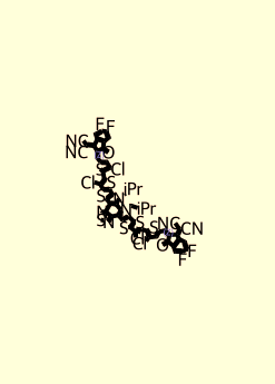 CC(C)Cn1c2c3sc(-c4sc(/C=C5\C(=O)c6cc(F)c(F)cc6C5=C(C#N)C#N)cc4Cl)c(Cl)c3sc2c2c3nsnc3c3c4sc5c(Cl)c(-c6sc(/C=C7\C(=O)c8cc(F)c(F)cc8C7=C(C#N)C#N)cc6Cl)sc5c4n(CC(C)C)c3c21